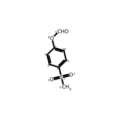 CS(=O)(=O)c1ccc(OC=O)cc1